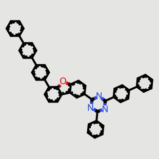 c1ccc(-c2ccc(-c3ccc(-c4cccc5c4oc4ccc(-c6nc(-c7ccccc7)nc(-c7ccc(-c8ccccc8)cc7)n6)cc45)cc3)cc2)cc1